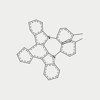 Cc1ccc(-n2c3ccccc3c3c4ccccc4c4c5ccccc5n(-c5ccc(C)cc5)c4c32)cc1